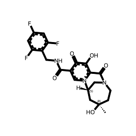 C[C@@]1(O)CCN2C[C@H](C1)n1cc(C(=O)NCc3c(F)cc(F)cc3F)c(=O)c(O)c1C2=O